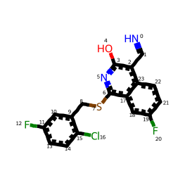 N=Cc1c(O)nc(SCc2cc(F)ccc2Cl)c2cc(F)ccc12